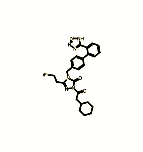 CC(C)CCc1nn(C(=O)CC2CCCCC2)c(=O)n1Cc1ccc(-c2ccccc2-c2nnn[nH]2)cc1